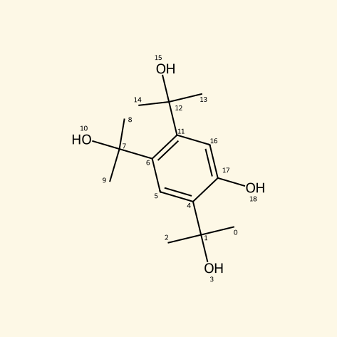 CC(C)(O)c1cc(C(C)(C)O)c(C(C)(C)O)cc1O